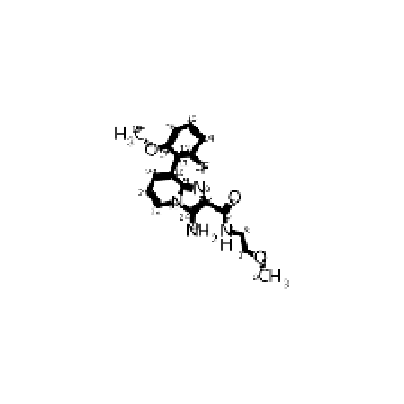 COCCNC(=O)c1nc2c(-c3c(F)cccc3OC)cccn2c1N